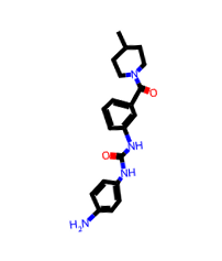 CC1CCN(C(=O)c2cccc(NC(=O)Nc3ccc(N)cc3)c2)CC1